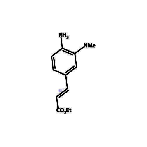 CCOC(=O)/C=C/c1ccc(N)c(NC)c1